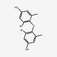 Cc1cc(O)cc(C(C)C)c1Oc1c(C)cc(O)cc1C(C)C